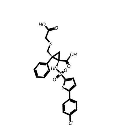 O=C(O)CSC[C@@]1(c2ccccc2)C[C@]1(NS(=O)(=O)c1ccc(-c2ccc(Cl)cc2)s1)C(=O)O